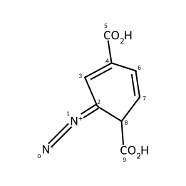 [N-]=[N+]=C1C=C(C(=O)O)C=CC1C(=O)O